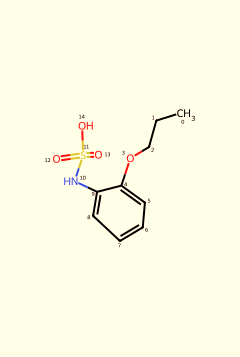 CCCOc1ccccc1NS(=O)(=O)O